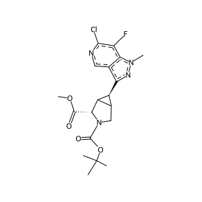 COC(=O)[C@@H]1C2C(CN1C(=O)OC(C)(C)C)[C@@H]2c1nn(C)c2c(F)c(Cl)ncc12